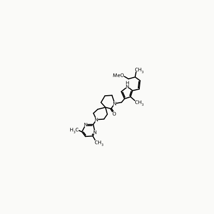 COCC(C)/C=C\c1[nH]cc(CN2CCCC3(CCN(c4nc(C)cc(C)n4)CC3)C2=O)c1C